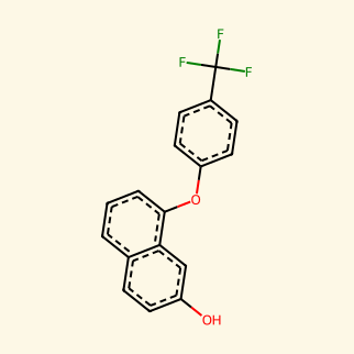 Oc1ccc2cccc(Oc3ccc(C(F)(F)F)cc3)c2c1